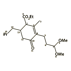 CCOC(=O)C1C(C)=C(CCC(OC)OC)C(=O)CC1CC(C)C